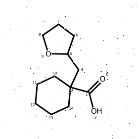 O=C(O)C1(CC2CCCO2)CCCCC1